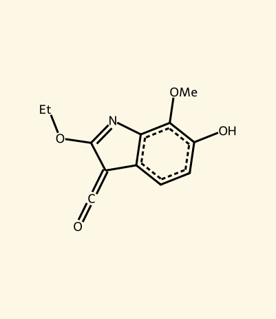 CCOC1=Nc2c(ccc(O)c2OC)C1=C=O